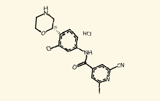 Cc1cc(C(=O)Nc2ccc([C@H]3CNCCO3)c(Cl)c2)cc(C#N)n1.Cl